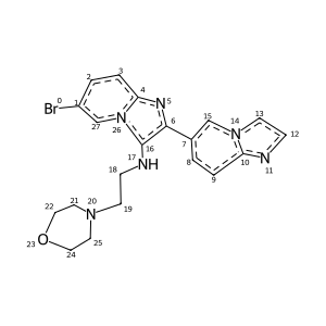 Brc1ccc2nc(-c3ccc4nccn4c3)c(NCCN3CCOCC3)n2c1